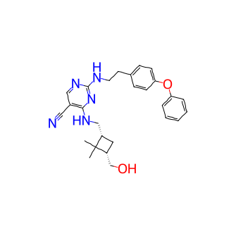 CC1(C)[C@H](CNc2nc(NCCc3ccc(Oc4ccccc4)cc3)ncc2C#N)C[C@@H]1CO